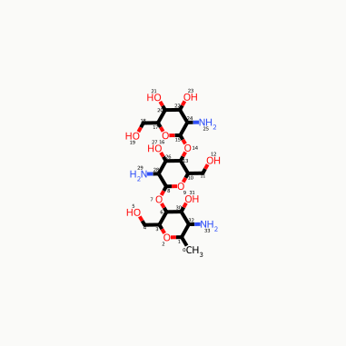 CC1OC(CO)C(OC2OC(CO)C(OC3OC(CO)C(O)C(O)C3N)C(O)C2N)C(O)C1N